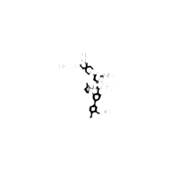 Cc1ccn(-c2cc(-c3ccc(CO)c(CO)c3)ccc2[C@H](Oc2cc(N3CCC4(CC3)CNC(C(=O)O)C4)nc(N)n2)C(F)(F)F)n1